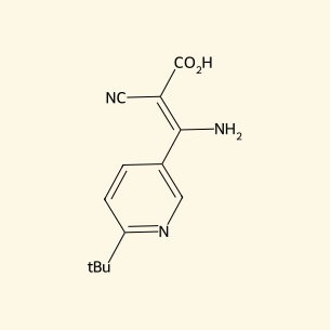 CC(C)(C)c1ccc(/C(N)=C(\C#N)C(=O)O)cn1